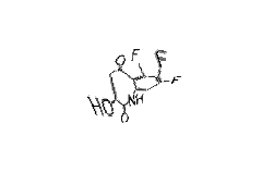 O=c1[nH]c2cc(F)c(F)c(F)c2c(=O)cc1O